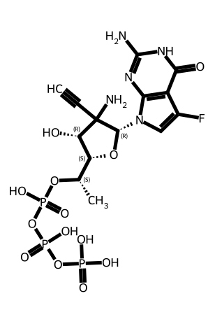 C#CC1(N)[C@@H](O)[C@@H]([C@H](C)OP(=O)(O)OP(=O)(O)OP(=O)(O)O)O[C@H]1n1cc(F)c2c(=O)[nH]c(N)nc21